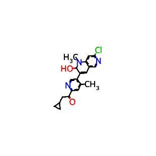 Cc1cc(C(=O)CC2CC2)ncc1C1=Cc2cnc(Cl)cc2N(C)C1O